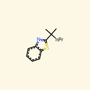 CCCC(C)(C)c1nc2ccccc2s1